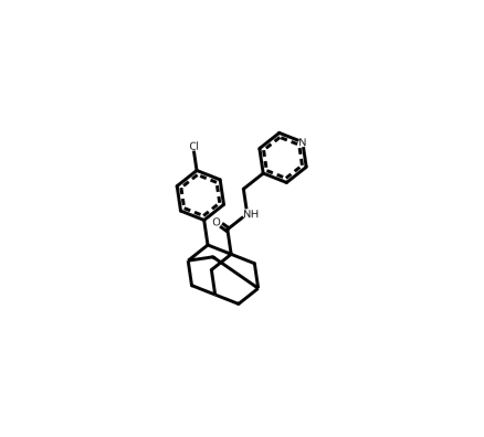 O=C(NCc1ccncc1)C12CC3CC(CC(C3)C1c1ccc(Cl)cc1)C2